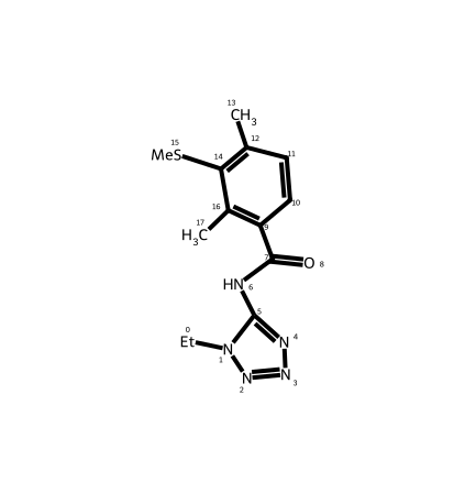 CCn1nnnc1NC(=O)c1ccc(C)c(SC)c1C